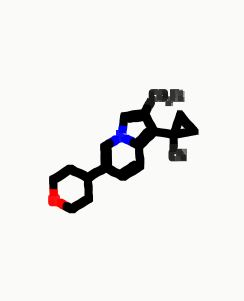 CCOC(=O)c1cn2cc(C3CCOCC3)ccc2c1C1(C#N)CC1